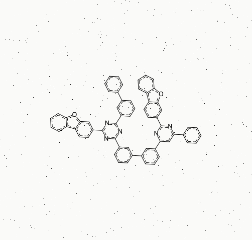 c1ccc(-c2cccc(-c3nc(-c4cccc(-c5cccc(-c6cc(-c7ccccc7)nc(-c7ccc8c(c7)oc7ccccc78)n6)c5)c4)nc(-c4ccc5c(c4)oc4ccccc45)n3)c2)cc1